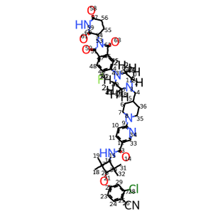 [2H]C1([2H])N(CC2CCN(c3ccc(C(=O)NC4C(C)(C)C(Oc5ccc(C#N)c(Cl)c5)C4(C)C)cn3)CC2)C([2H])([2H])C([2H])([2H])N(c2cc3c(cc2F)C(=O)N(C2CCC(=O)NC2=O)C3=O)C1([2H])[2H]